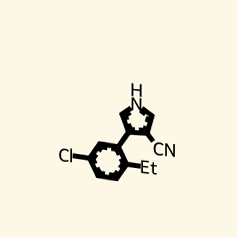 CCc1ccc(Cl)cc1-c1c[nH]cc1C#N